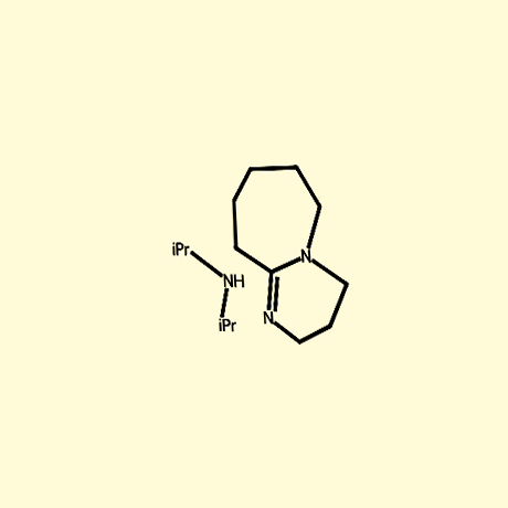 C1CCC2=NCCCN2CC1.CC(C)NC(C)C